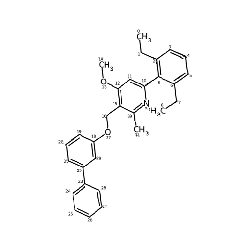 CCc1cccc(CC)c1-c1cc(OC)c(COc2cccc(-c3ccccc3)c2)c(C)n1